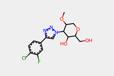 COC1COC(CO)C(O)C1n1cc(-c2ccc(Cl)c(F)c2)nn1